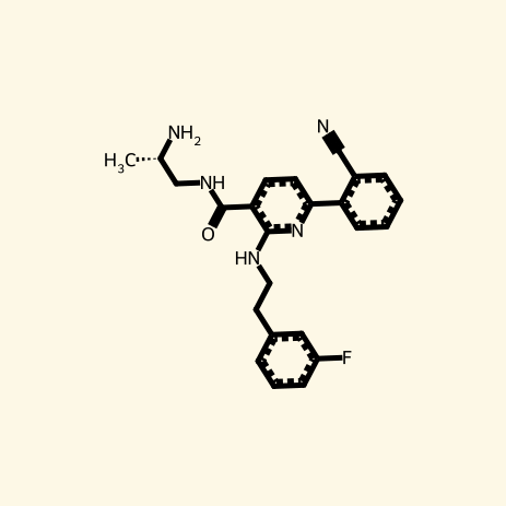 C[C@H](N)CNC(=O)c1ccc(-c2ccccc2C#N)nc1NCCc1cccc(F)c1